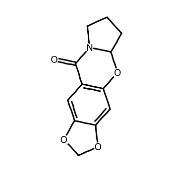 O=C1c2cc3c(cc2OC2CCCN12)OCO3